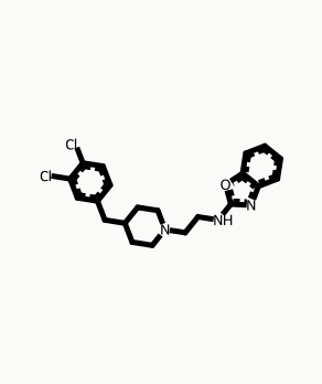 Clc1ccc(CC2CCN(CCNc3nc4ccccc4o3)CC2)cc1Cl